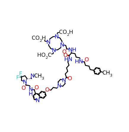 C/N=C/[C@H]1CC(F)(F)CN1C(=O)CNC(=O)c1ccnc2ccc(OCCCN3CCN(C(=O)CCCCCNC(=O)C(CCCNC(=O)CCCc4ccc(C)cc4)NC(=O)CN4CCN(CC(=O)O)CCN(CC(=O)O)CCN(CC(=O)O)CC4)CC3)cc12